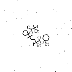 CCC1(OC(=O)C(I)(CC)CCC(C)(C)C2(OC(=O)C(C)(I)CC)CCCC2)CCCCC1